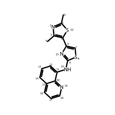 Cc1nc(C)c(-c2csc(Nc3cccc4cccnc34)n2)s1